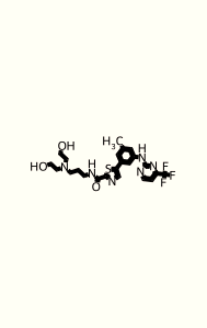 Cc1cc(Nc2nccc(C(F)(F)F)n2)cc(-c2cnc(C(=O)NCCCN(CCO)CCO)s2)c1